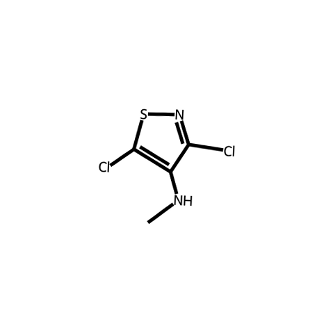 CNc1c(Cl)nsc1Cl